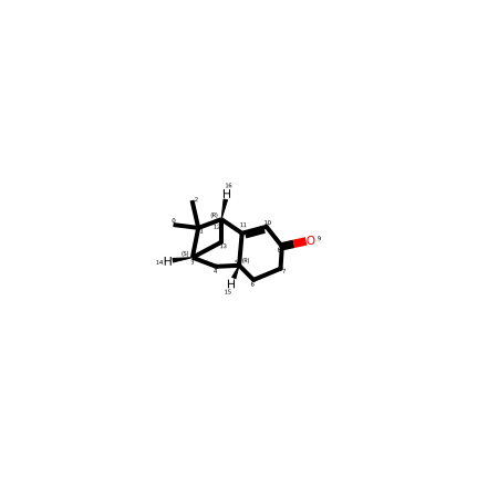 CC1(C)[C@H]2C[C@H]3CCC(=O)C=C3[C@@H]1C2